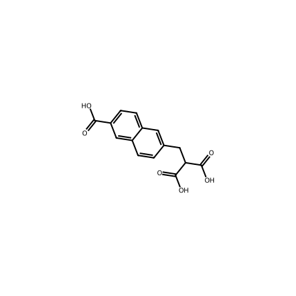 O=C(O)c1ccc2cc(CC(C(=O)O)C(=O)O)ccc2c1